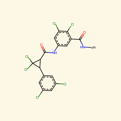 CCCNC(=O)c1cc(NC(=O)C2C(c3cc(Cl)cc(Cl)c3)C2(Cl)Cl)cc(Cl)c1Cl